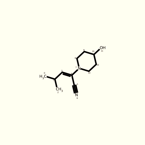 CC(C)C=C(C#N)N1CCC(O)CC1